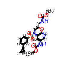 CC(C)(C)OC(=O)NC[C@H]1CN(S(=O)(=O)c2cccc(C3CC3)c2)c2cc(NC(=O)OC(C)(C)C)cnc2O1